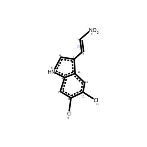 O=[N+]([O-])/C=C/c1c[nH]c2cc(Cl)c(Cl)cc12